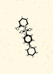 O=C1CCCCN1S(=O)(=O)c1ccc(N2CCCCC2)cc1